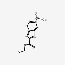 CCOC(=O)C1=NC2=CC([N+](=O)[O-])=CCC2=C1